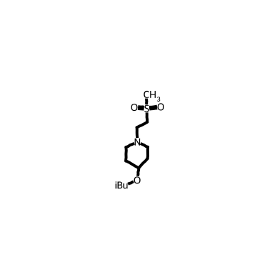 CCC(C)OC1CCN(CCS(C)(=O)=O)CC1